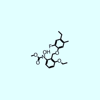 CCOc1cccc(N(O)C(=O)OC)c1COc1cc(C)c(CC)cc1F